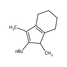 CCCCC1=C(C)C2=C(CCCC2)C1C